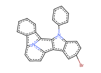 Brc1ccc2c(c1)c1c(c3c4ccccc4c4cccc1n43)n2-c1ccccc1